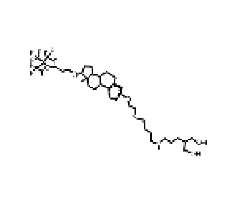 CN(CCCSSCCOc1ccc2c(c1)CCC1C2CCC2(C)C(OCCCOC(C(F)(F)F)(C(F)(F)F)C(F)(F)F)CCC12)CCCC(CO)CO